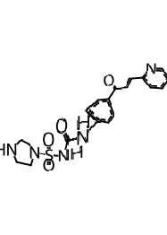 O=C(Nc1ccc(C(=O)C=Cc2ccccn2)cc1)NS(=O)(=O)N1CCNCC1